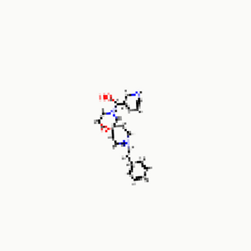 OC(c1cccnc1)N1CCOC2(CCN(CCc3ccccc3)CC2)C1